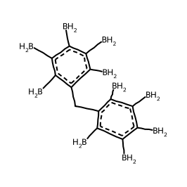 Bc1c(B)c(B)c(Cc2c(B)c(B)c(B)c(B)c2B)c(B)c1B